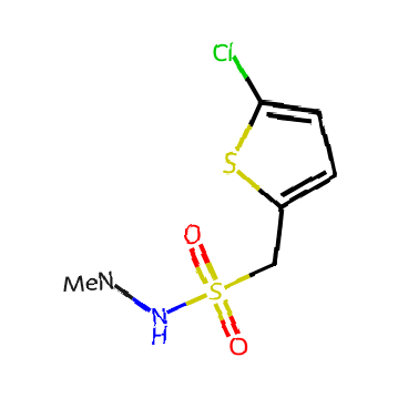 CNNS(=O)(=O)Cc1ccc(Cl)s1